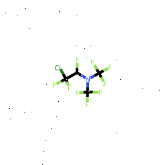 FC(N(C(F)(F)F)C(F)(F)F)C(F)(F)Cl